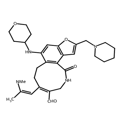 CN/C(C)=C\C1=C(/C=O)CNC(=O)c2c(c(NC3CCOCC3)cc3oc(CN4CCCCC4)cc23)CC1